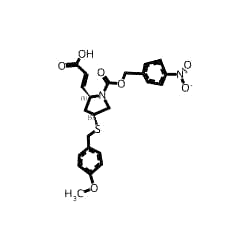 COc1ccc(CS[C@H]2C[C@@H](C=CC(=O)O)N(C(=O)OCc3ccc([N+](=O)[O-])cc3)C2)cc1